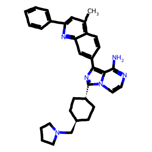 Cc1cc(-c2ccccc2)nc2cc(-c3nc([C@H]4CC[C@H](CN5CCCC5)CC4)n4ccnc(N)c34)ccc12